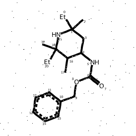 CCC1(C)CC(NC(=O)OCc2ccccc2)C(C)C(C)(CC)N1